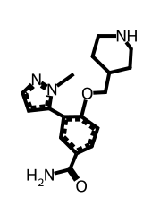 Cn1nccc1-c1cc(C(N)=O)ccc1OCC1CCNCC1